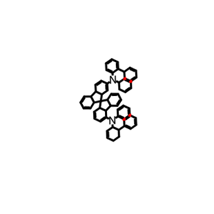 C1=CCC(c2ccccc2N(C2=CC3C(C=C2)C2C=CC=CC2C32C3C=CC=CC3C3C(N(c4ccccc4)C4C=CCCC4c4ccccc4)=CC=CC32)C2C=CC=CC2)C=C1